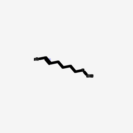 CCC/C=C/CCCCOC=O